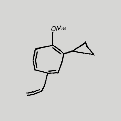 C=[C]c1ccc(OC)c(C2CC2)c1